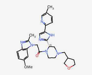 COc1ccc2nc(C)n(CC(=O)N3CCN(CC4CCOC4)C[C@H]3c3ncc(-c4ccc(C)cn4)[nH]3)c2c1